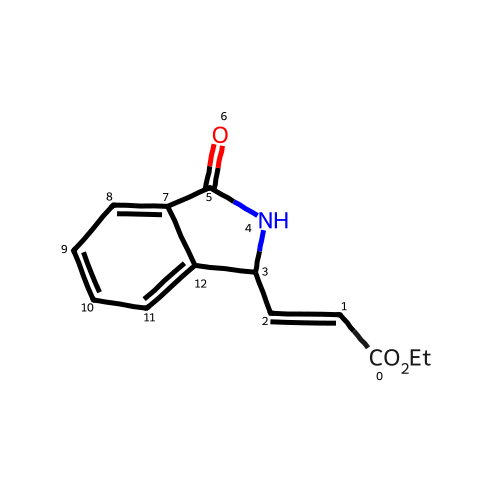 CCOC(=O)C=CC1NC(=O)c2ccccc21